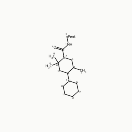 CCCCCNC(=O)N1CC(C)C(N2CCCCC2)CC1(C)C